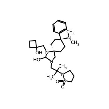 CN(C)[C@]1(c2ccccc2)CC[C@]2(CC1)CN(CC(C)(C)N1CCCS1(=O)=O)C(O)N2CC1(O)CCC1